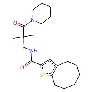 CC(C)(CNC(=O)c1cc2c(s1)CCCCCC2)C(=O)N1CCCCC1